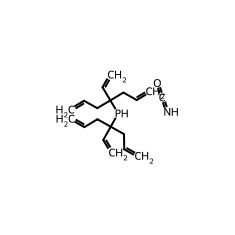 C=CCC(C=C)(CC=C)PC(C=C)(CC=C)CC=C.N=C=O